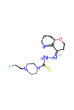 FCCN1CCN(C(=S)N/N=C2/CCOc3cccnc32)CC1